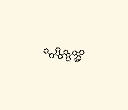 c1ccc(-c2cccc(-n3c4ccccc4c4c(-c5cccc6c5c5ccccc5n6-c5ccc6c(c5)C5(c7ccccc7-6)C6CC7CC(C6)CC5C7)cccc43)c2)cc1